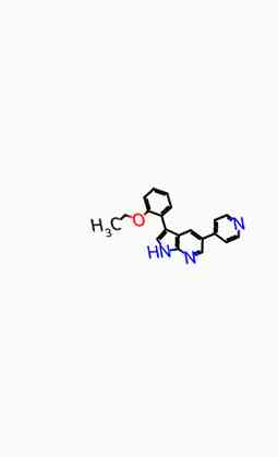 CCOc1ccccc1-c1c[nH]c2ncc(-c3ccncc3)cc12